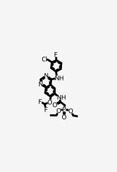 CCOP(=O)(CC(=O)Nc1cc2c(Nc3ccc(F)c(Cl)c3)ncnc2cc1OC(F)F)OCC